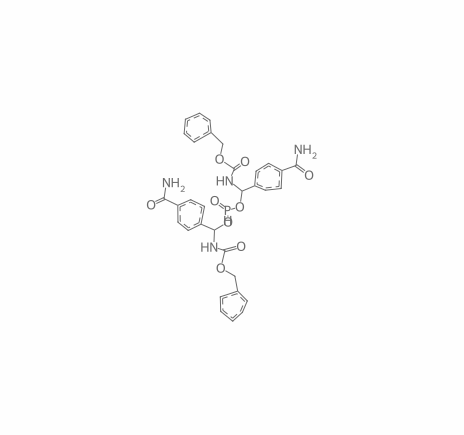 NC(=O)c1ccc(C(NC(=O)OCc2ccccc2)O[PH](=O)OC(NC(=O)OCc2ccccc2)c2ccc(C(N)=O)cc2)cc1